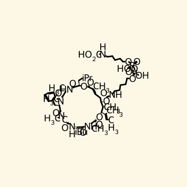 C/C=C(\C)[C@H]1OC(=O)[C@@H](C)NC(=O)[C@H]([C@H](C)CC)NC(=O)CN(C)C(=O)[C@@H](Cc2ccccc2)N(C)C(=O)[C@H](C)NC(=O)[C@@H](CC(C)C)OC(=O)/C(C)=C/C[C@H](OC(=O)NCCCCCOP(=O)(O)OP(=O)(O)OCCCCCNC(=O)O)[C@@H]1C